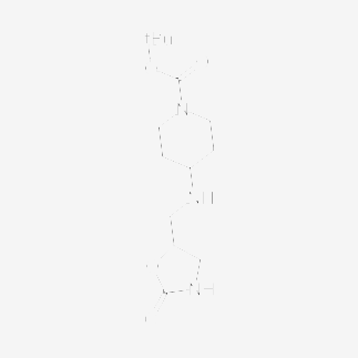 CC(C)(C)OC(=O)N1CCC(NCC2CNC(=O)O2)CC1